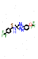 CC(C#N)(Cn1nc2ccc(OC(F)(F)F)cc2n1)NC(=S)c1ccc(C(F)(F)F)cc1